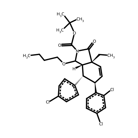 CCCCOC1[C@H]2[C@@H](c3ccc(Cl)cc3)[C@H](c3ccc(Cl)cc3Cl)C=C[C@@]2(CC)C(=O)N1C(=O)OC(C)(C)C